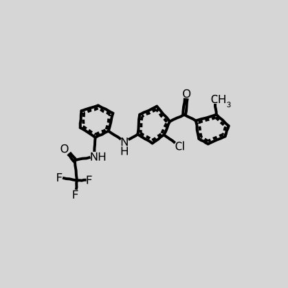 Cc1ccccc1C(=O)c1ccc(Nc2ccccc2NC(=O)C(F)(F)F)cc1Cl